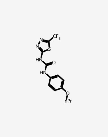 CCCOc1ccc(NC(=O)Nc2nnc(C(F)(F)F)s2)cc1